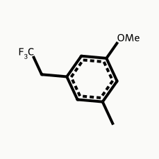 COc1cc(C)cc(CC(F)(F)F)c1